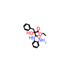 CCOC(=O)[C@@](O)(Cc1ccccc1)C(=O)Nc1ccccc1N